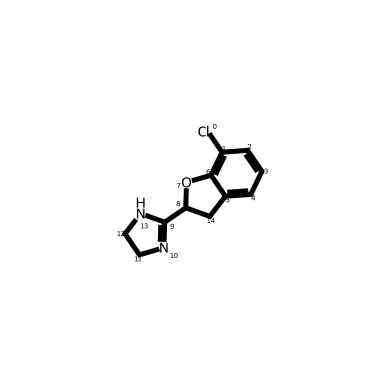 Clc1cccc2c1OC(C1=NCCN1)C2